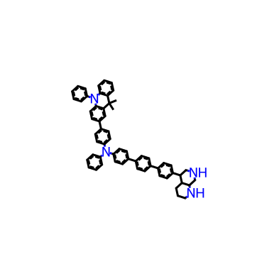 CC1(C)c2ccccc2N(c2ccccc2)c2ccc(-c3ccc(N(c4ccccc4)c4ccc(-c5ccc(-c6ccc(C7CNCC8NCCCC87)cc6)cc5)cc4)cc3)cc21